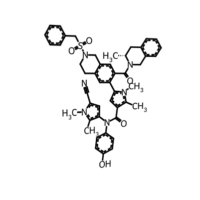 Cc1c(N(C(=O)c2cc(-c3cc4c(cc3C(=O)N3Cc5ccccc5C[C@H]3C)CN(S(=O)(=O)Cc3ccccc3)CC4)n(C)c2C)c2ccc(O)cc2)cc(C#N)n1C